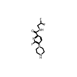 O=C(NCC(F)F)c1ccc(N2CCNCC2)c(F)n1